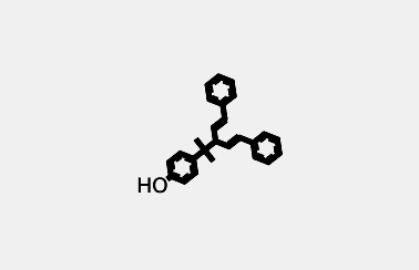 CC(C)(c1ccc(O)cc1)C(C=Cc1ccccc1)C=Cc1ccccc1